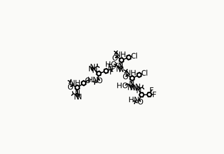 CC(C)(C)NC(=O)c1cc(-c2ccc(Cl)cc2)cc(-n2cnnc2C(C)(C)O)c1.CC(C)(C)NC(=O)c1cc(-c2ccc(Cl)cc2)cc(-n2cnnc2CO)c1.CC(C)c1nncn1-c1cc(C(=O)NC(C)(C)C)cc(-c2ccc(C(F)(F)F)cc2)c1.CC(C)c1nncn1-c1cc(C(=O)NC(C)(C)C)cc(-c2ccc(F)c(F)c2)c1.COc1ccc(-c2cc(C(=O)NC(C)(C)C)cc(-n3cnnc3C(C)C)c2)cc1